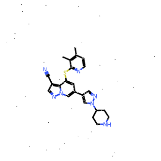 Cc1ccnc(Sc2cc(-c3cnn(C4CCNCC4)c3)cn3ncc(C#N)c23)c1C